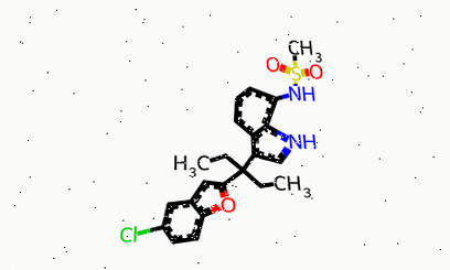 CCC(CC)(c1cc2cc(Cl)ccc2o1)c1c[nH]c2c(NS(C)(=O)=O)cccc12